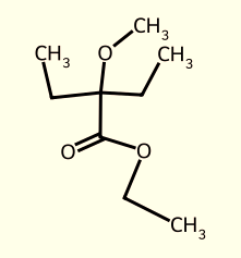 CCOC(=O)C(CC)(CC)OC